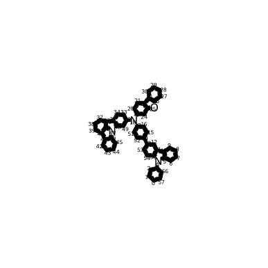 c1ccc(-n2c3ccccc3c3cc(-c4ccc(N(c5ccc6c(c5)oc5ccccc56)c5ccc6c7cccc8c9ccccc9n(c6c5)c87)cc4)ccc32)cc1